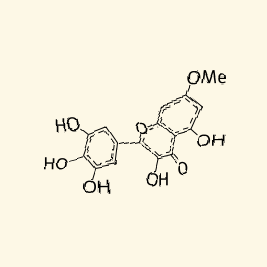 COc1cc(O)c2c(=O)c(O)c(-c3cc(O)c(O)c(O)c3)oc2c1